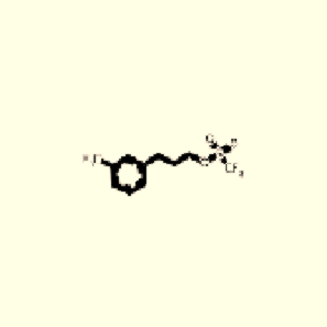 O=S(=O)(OCCCc1cccc(C(F)(F)F)c1)C(F)(F)F